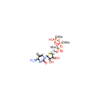 COP(=O)(O)OP(=O)(OC)OP(=O)(OC)OC[C@H]1S[C@@H](n2cc(C)c(N)nc2=O)[C@H](O)[C@@H]1O